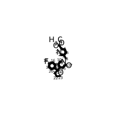 COC(=O)c1ccc(Cn2ccc(C3(c4ccc(F)cc4)CCCO3)cc2=O)cn1